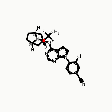 CC(F)(F)C(=O)N1[C@H]2CC[C@H]1CC(Oc1ncnc3c1ccn3-c1ccc(C#N)cc1Cl)C2